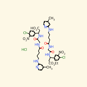 CCOC(=O)CC(NC(=O)CNC(=O)CCCCNc1cc(C)ccn1)c1ccc(Cl)c([N+](=O)[O-])c1.Cc1ccnc(NCCCCC(=O)NCC(=O)NC(CC(=O)O)c2ccc(Cl)c([N+](=O)[O-])c2)c1.Cl